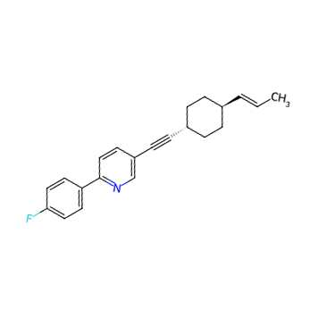 CC=C[C@H]1CC[C@H](C#Cc2ccc(-c3ccc(F)cc3)nc2)CC1